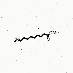 CN=CCCCCCCCC(=O)OC